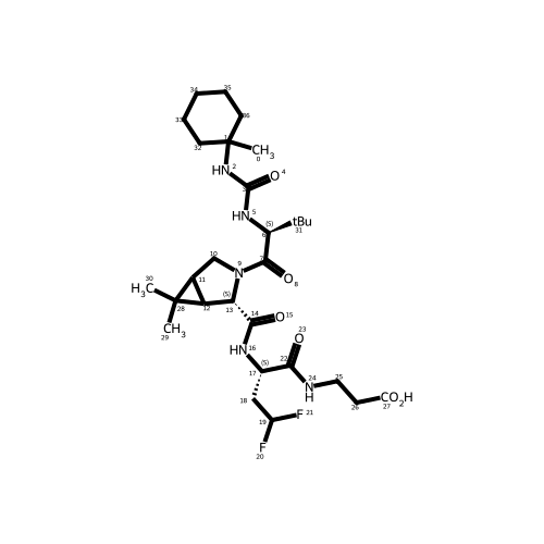 CC1(NC(=O)N[C@H](C(=O)N2CC3C([C@H]2C(=O)N[C@@H](CC(F)F)C(=O)NCCC(=O)O)C3(C)C)C(C)(C)C)CCCCC1